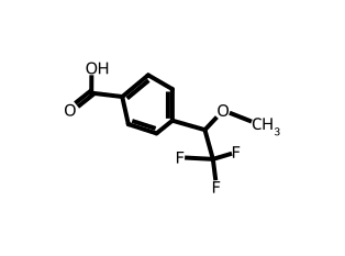 COC(c1ccc(C(=O)O)cc1)C(F)(F)F